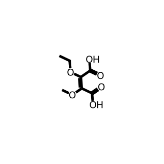 CCO/C(C(=O)O)=C(\OC)C(=O)O